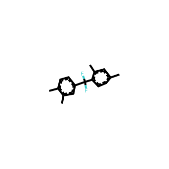 Cc1ccc(C(F)(F)c2ccc(C)c(C)c2)c(C)c1